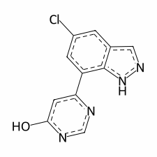 Oc1cc(-c2cc(Cl)cc3cn[nH]c23)ncn1